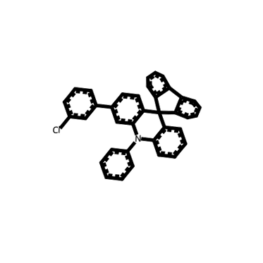 Clc1cccc(-c2ccc3c(c2)N(c2ccccc2)c2ccccc2C32c3ccccc3-c3ccccc32)c1